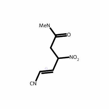 [C-]#[N+]/C=C/C(CC(=O)NC)[N+](=O)[O-]